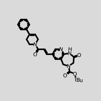 CC(C)(C)OC(=O)N1CC(=O)Nc2ncc(C=CC(=O)N3CC=C(c4ccccc4)CC3)cc2C1